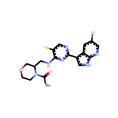 CC(C)(C)C(=O)N1CCOCC1CNc1nc(-c2c[nH]c3ncc(Cl)cc23)ncc1F